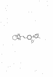 COc1cc(C=Cc2nc3n(n2)CCCC3)ccc1-n1cnc(C)c1